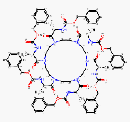 C[C@H](NC(=O)OCc1ccccc1)C(=O)N1CCN(C(=O)[C@H](C)NC(=O)OCc2ccccc2)CCN(C(=O)[C@H](C)NC(=O)OCc2ccccc2)CCN(C(=O)[C@H](C)NC(=O)OCc2ccccc2)CCN(C(=O)[C@H](C)NC(=O)OCc2ccccc2)CCN(C(=O)[C@H](C)NC(=O)OCc2ccccc2)CC1